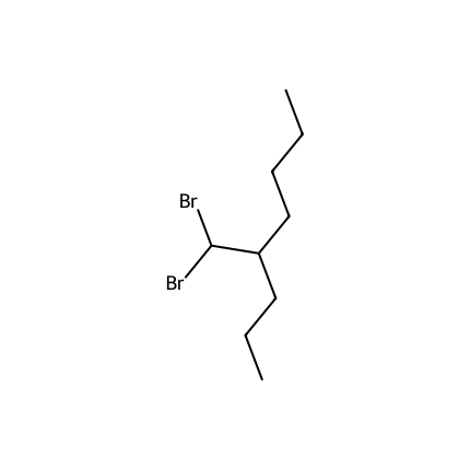 CCCCC(CCC)C(Br)Br